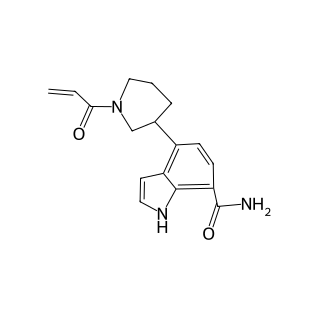 C=CC(=O)N1CCCC(c2ccc(C(N)=O)c3[nH]ccc23)C1